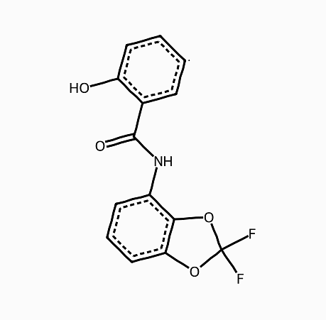 O=C(Nc1cccc2c1OC(F)(F)O2)c1c[c]ccc1O